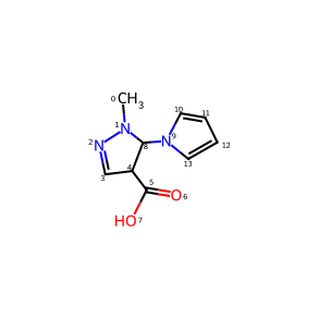 CN1N=CC(C(=O)O)C1n1cccc1